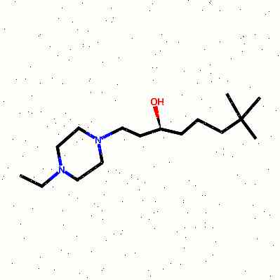 CCN1CCN(CC[C@@H](O)CCCC(C)(C)C)CC1